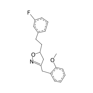 COc1ccccc1CC1=NOC(CCc2cccc(F)c2)C1